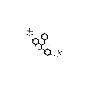 CC(C)(C)[Si](C)(C)Oc1ccc(C2=C(C(O)c3ccccc3)c3ccc(O[Si](C)(C)C(C)(C)C)cc3OC2)c(O)c1